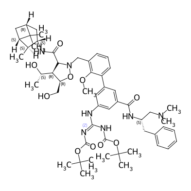 COc1c(CN2O[C@@H](CO)[C@@H]([C@H](C)O)C2C(=O)N[C@H]2C[C@H]3C[C@@H]([C@@H]2C)C3(C)C)cccc1-c1cc(N/C(=N/C(=O)OC(C)(C)C)NC(=O)OC(C)(C)C)cc(C(=O)N[C@@H](Cc2ccccc2)CN(C)C)c1